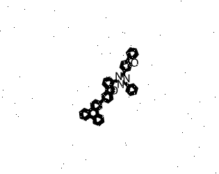 c1ccc(-c2nc(-c3ccc4c(c3)oc3ccccc34)nc(-c3cccc4c3oc3ccc(-c5ccc6c7ccccc7c7ccccc7c6c5)cc34)n2)cc1